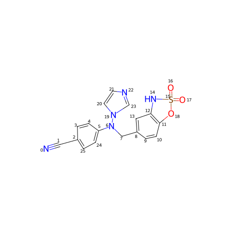 N#Cc1ccc(N(Cc2ccc3c(c2)NS(=O)(=O)O3)n2ccnc2)cc1